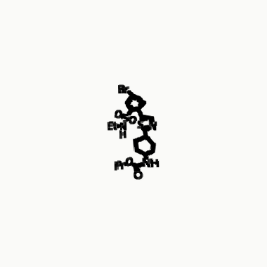 CCNS(=O)(=O)c1cc(Br)ccc1-c1cnc(C2CCC(NC(=O)OC(C)C)CC2)s1